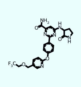 NC(=O)c1cc(NC2CCNC2=O)nc(-c2ccc(Oc3ccc(COCC(F)(F)F)cn3)cc2)n1